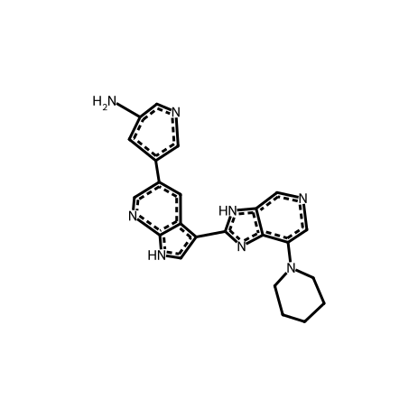 Nc1cncc(-c2cnc3[nH]cc(-c4nc5c(N6CCCCC6)cncc5[nH]4)c3c2)c1